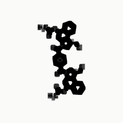 CC(=O)Oc1cc2c(c3ccccc13)[C@H](CCl)CN2C(=O)C12CCC(C(=O)N3C[C@@H](CCl)c4c3cc(OC(C)=O)c3ccccc43)(CC1)CC2